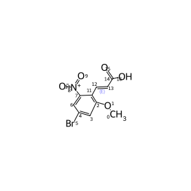 COc1cc(Br)cc([N+](=O)[O-])c1/C=C/C(=O)O